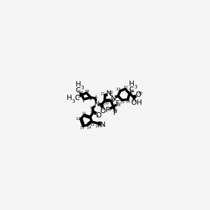 CC1(C)CC(CN(CC(=O)c2ccccc2C#N)C(=O)c2cnn(C3CCC(C)(C(=O)O)CC3)c2C(F)(F)F)C1